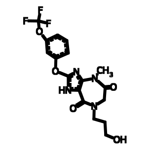 CN1C(=O)CN(CCCO)C(=O)c2[nH]c(Oc3cccc(OC(F)(F)F)c3)nc21